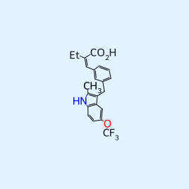 CC/C(=C/c1cccc(Cc2c(C)[nH]c3ccc(OC(F)(F)F)cc23)c1)C(=O)O